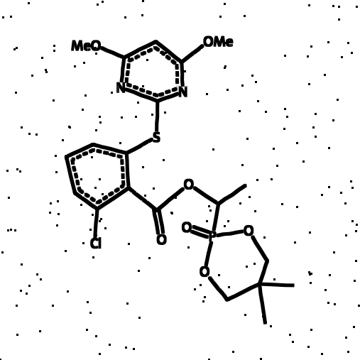 COc1cc(OC)nc(Sc2cccc(Cl)c2C(=O)OC(C)P2(=O)OCC(C)(C)CO2)n1